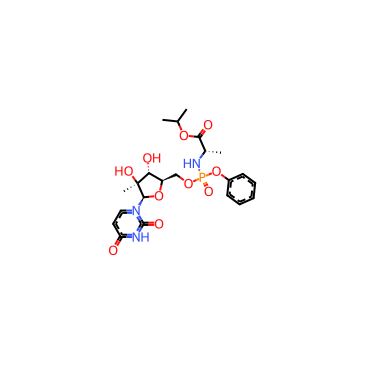 CC(C)OC(=O)[C@H](C)N[P@](=O)(OC[C@H]1O[C@@H](n2ccc(=O)[nH]c2=O)[C@@](C)(O)[C@@H]1O)Oc1ccccc1